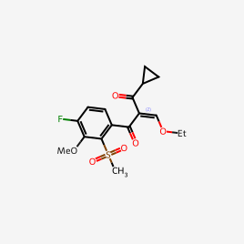 CCO/C=C(\C(=O)c1ccc(F)c(OC)c1S(C)(=O)=O)C(=O)C1CC1